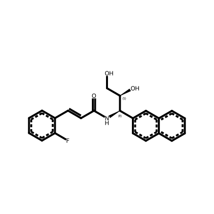 O=C(C=Cc1ccccc1F)N[C@H](c1ccc2ccccc2c1)[C@H](O)CO